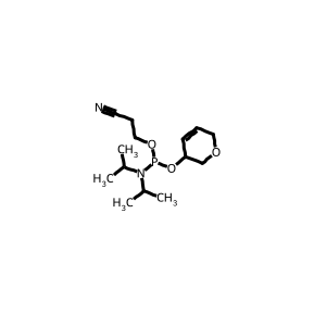 CC(C)N(C(C)C)P(OCCC#N)OC1C=CCOC1